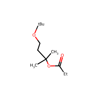 CCC(=O)OC(C)(C)CCOC(C)(C)C